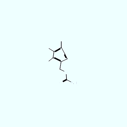 Cc1ccc(COC(N)=O)c(C)c1C